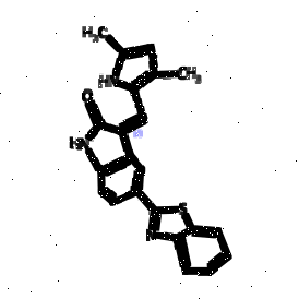 Cc1cc(C)c(/C=C2\C(=O)Nc3ccc(-c4nc5ccccc5s4)cc32)[nH]1